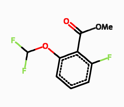 COC(=O)c1c(F)cccc1OC(F)F